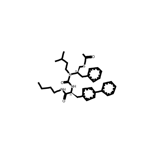 CCCCNC(=O)[C@H](Cc1ccc(-c2ccccc2)cc1)NC(=O)N(CCC(C)C)[C@@H](CSC(C)=O)Cc1ccccc1